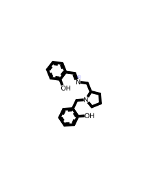 Oc1ccccc1/C=N/CC1CCCN1Cc1ccccc1O